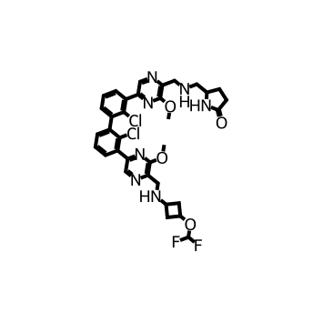 COc1nc(-c2cccc(-c3cccc(-c4cnc(CNC5CC(OC(F)F)C5)c(OC)n4)c3Cl)c2Cl)cnc1CNCC1CCC(=O)N1